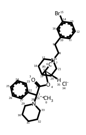 C[C@@](C(=O)O[C@H]1C[N+]2(CCc3cccc(Br)c3)CCC1CC2)(c1ccccc1)N1CCCCC1.[Cl-]